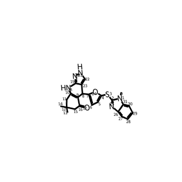 Cn1c(Sc2ccc(C3C4=C(CC(C)(C)CC4=O)Nc4n[nH]cc43)o2)nc2ccccc21